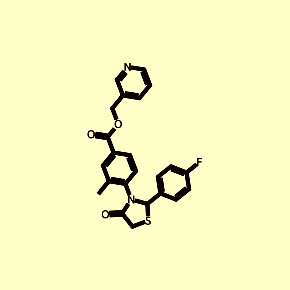 Cc1cc(C(=O)OCc2cccnc2)ccc1N1C(=O)CSC1c1ccc(F)cc1